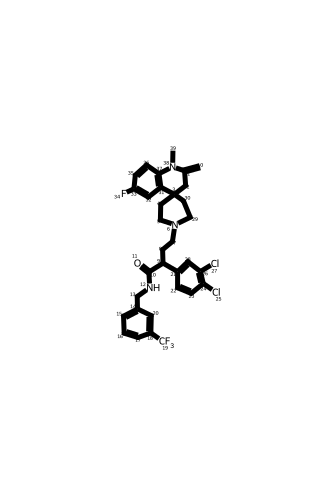 C=C1CC2(CCN(CCC(C(=O)NCc3cccc(C(F)(F)F)c3)c3ccc(Cl)c(Cl)c3)CC2)c2cc(F)ccc2N1C